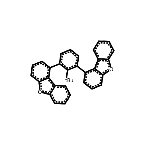 CC(C)(C)c1c(-c2cccc3oc4ccccc4c23)cccc1-c1cccc2oc3ccccc3c12